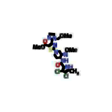 COCn1ccnc1-c1nc(N2CCC(NC(=O)c3[nH]c(C)c(Cl)c3Cl)/C(=N/OC)C2)sc1C(=O)OC